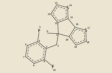 CC1(Cc2c(F)cccc2F)c2ccsc2-c2sccc21